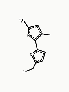 Cn1cc(C(F)(F)F)nc1-c1ccc(CCl)o1